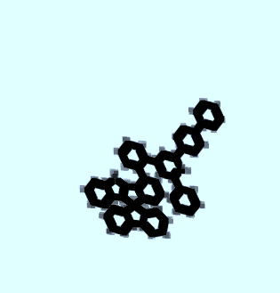 c1ccc(-c2ccc(-c3cc(-c4ccccc4-c4cccc5c4-c4sc6ccccc6c4C54c5ccccc5-c5ccccc54)cc(-c4ccccc4)n3)cc2)cc1